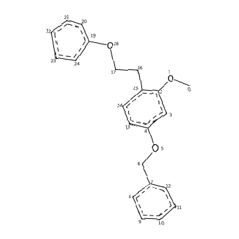 COc1cc(OCc2ccccc2)ccc1CCOc1cc[c]cc1